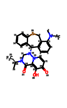 CC(=O)N(C)c1cccc2c1CSc1ccccc1[C@H]2N1CN([C@H](C)C(F)(F)F)C(=O)c2c(O)c(=O)ccn21